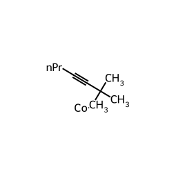 CCCC#CC(C)(C)C.[Co]